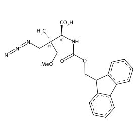 COC[C@@](C)(CN=[N+]=[N-])[C@H](NC(=O)OCC1c2ccccc2-c2ccccc21)C(=O)O